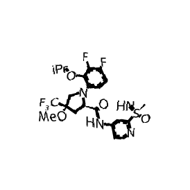 CO[C@]1(C(F)(F)F)C[C@H](C(=O)Nc2ccnc([S@](C)(=N)=O)c2)N(c2ccc(F)c(F)c2OC(C)C)C1